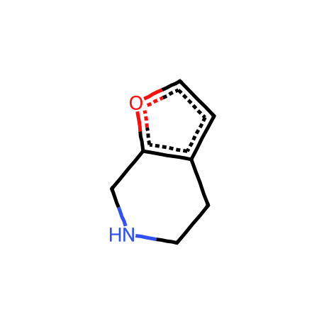 c1cc2c(o1)CNCC2